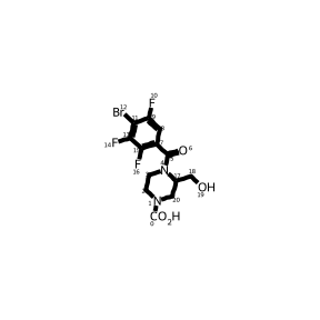 O=C(O)N1CCN(C(=O)c2cc(F)c(Br)c(F)c2F)C(CO)C1